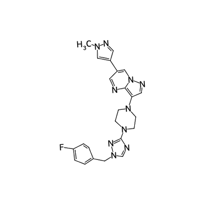 Cn1cc(-c2cnc3c(N4CCN(c5ncn(Cc6ccc(F)cc6)n5)CC4)cnn3c2)cn1